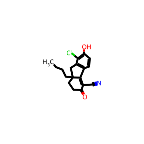 CCCCC12CCC(=O)C(C#N)=C1c1ccc(O)c(Cl)c1C2